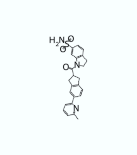 Cc1cccc(-c2ccc3c(c2)CC(C(=O)N2CCc4ccc(S(N)(=O)=O)cc42)C3)n1